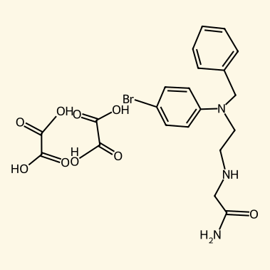 NC(=O)CNCCN(Cc1ccccc1)c1ccc(Br)cc1.O=C(O)C(=O)O.O=C(O)C(=O)O